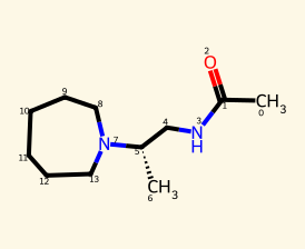 CC(=O)NC[C@H](C)N1CCCCCC1